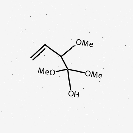 C=C[C](OC)C(O)(OC)OC